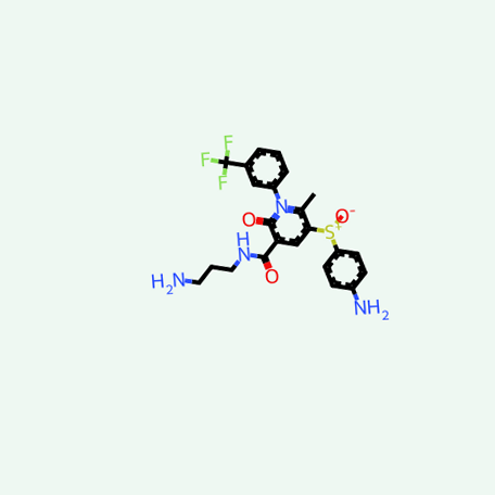 Cc1c([S+]([O-])c2ccc(N)cc2)cc(C(=O)NCCCN)c(=O)n1-c1cccc(C(F)(F)F)c1